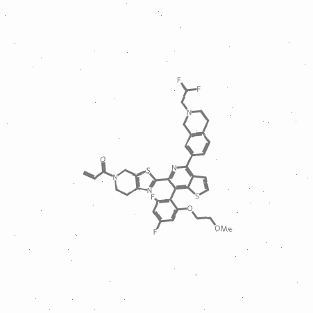 C=CC(=O)N1CCc2nc(-c3nc(-c4ccc5c(c4)CN(CC(F)F)CC5)c4ccsc4c3-c3c(F)cc(F)cc3OCCOC)sc2C1